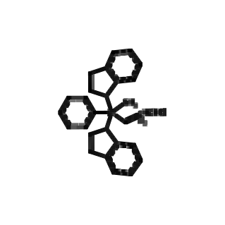 C=[CH][Zr]([SiH3])([c]1ccccc1)([CH]1C=Cc2ccccc21)[CH]1C=Cc2ccccc21.Cl.Cl